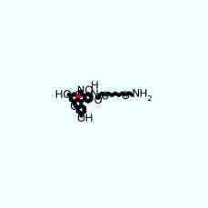 NCCOCCCCCOCC(=O)Nc1ccc(C2c3ccc(O)cc3Oc3cc(O)ccc32)c(C(=O)N=O)c1